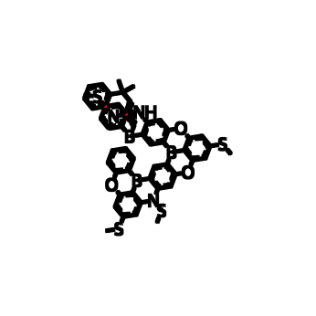 CSc1cc2c3c(c1)Oc1cc4c(cc1B3c1cc3c(cc1O2)Nc1cc(SC)cc2c1B3c1cccc3c1N2c1ccccc1C3(C)C)B1c2ccccc2Oc2cc(SC)cc(c21)N4SC